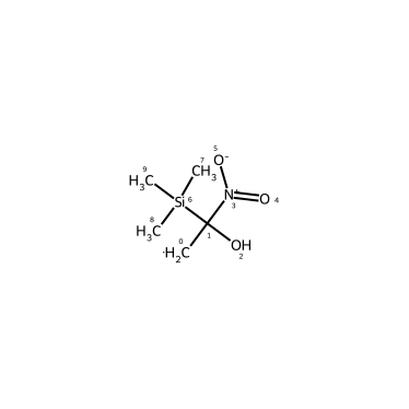 [CH2]C(O)([N+](=O)[O-])[Si](C)(C)C